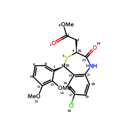 COC(=O)C[C@@H]1S[C@H](c2cccc(OC)c2OC)c2cc(Cl)ccc2NC1=O